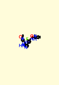 C=CC(=O)N1CC[C@@H](Nc2n[nH]c3nccc(-c4ccc(CNC(=O)c5cc6c(n5C)CC(C)(C)C6)c(F)c4)c23)C1